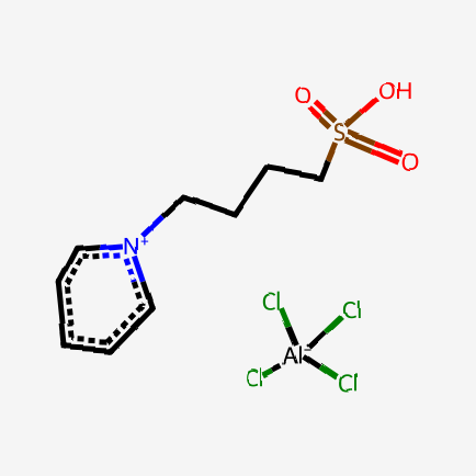 O=S(=O)(O)CCCC[n+]1ccccc1.[Cl][Al-]([Cl])([Cl])[Cl]